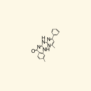 Cc1ccc2c(=O)nc(Nc3nc(C)cc(-c4ccccc4)n3)[nH]c2c1